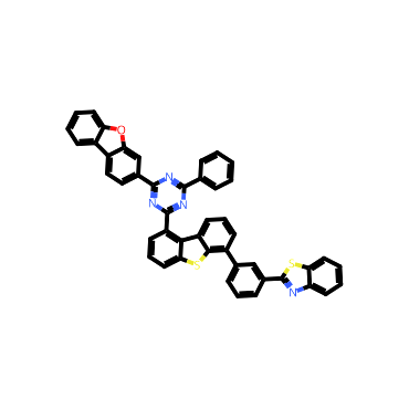 c1ccc(-c2nc(-c3ccc4c(c3)oc3ccccc34)nc(-c3cccc4sc5c(-c6cccc(-c7nc8ccccc8s7)c6)cccc5c34)n2)cc1